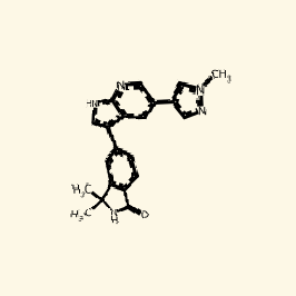 Cn1cc(-c2cnc3[nH]cc(-c4ccc5c(c4)C(C)(C)NC5=O)c3c2)cn1